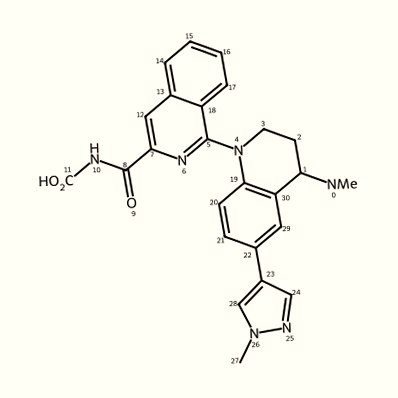 CNC1CCN(c2nc(C(=O)NC(=O)O)cc3ccccc23)c2ccc(-c3cnn(C)c3)cc21